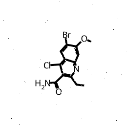 CCc1nc2cc(OC)c(Br)cc2c(Cl)c1C(N)=O